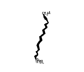 CCCCC/C=C/C/C=C/CCCCCCCC#CC(=O)O